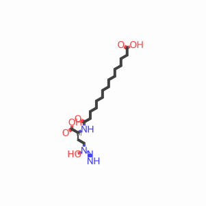 N=NN(O)CC[C@H](NC(=O)CCCCCCCCCCCCCC(=O)O)C(=O)O